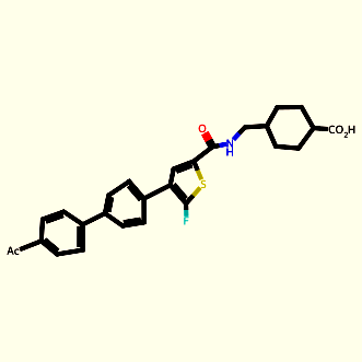 CC(=O)c1ccc(-c2ccc(-c3cc(C(=O)NCC4CCC(C(=O)O)CC4)sc3F)cc2)cc1